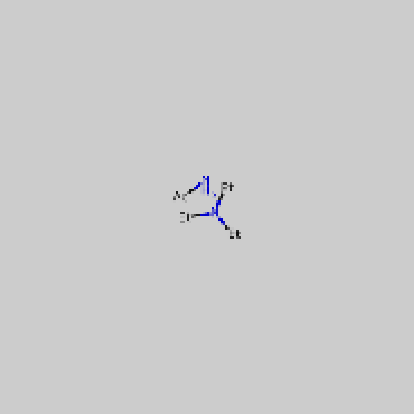 CC(N)=O.CCN(CC)CC